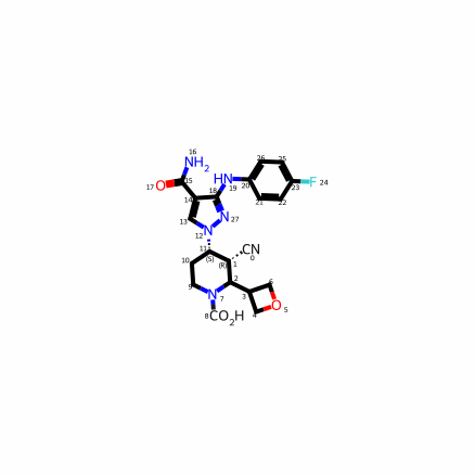 N#C[C@@H]1C(C2COC2)N(C(=O)O)CC[C@@H]1n1cc(C(N)=O)c(Nc2ccc(F)cc2)n1